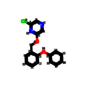 Clc1cncc(OCc2ccccc2Oc2ccccc2)n1